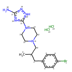 CC(Cc1ccc(Br)cc1)CN1CCN(c2nc(N)n[nH]2)CC1.Cl.Cl